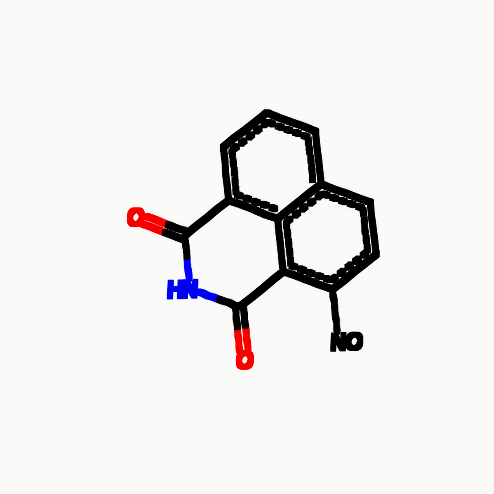 O=Nc1ccc2cccc3c2c1C(=O)NC3=O